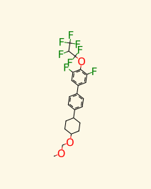 COCOC1CCC(c2ccc(-c3cc(F)c(OC(F)(F)C(F)C(F)(F)F)c(F)c3)cc2)CC1